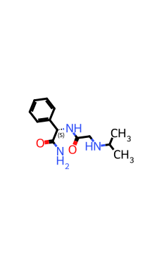 CC(C)NCC(=O)N[C@H](C(N)=O)c1ccccc1